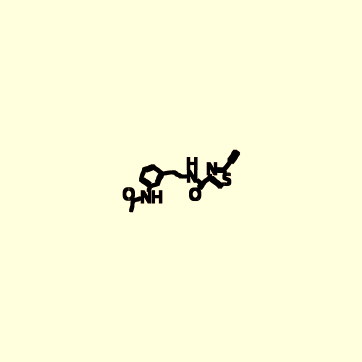 C#Cc1nc(C(=O)NCCc2cccc(NC(C)=O)c2)cs1